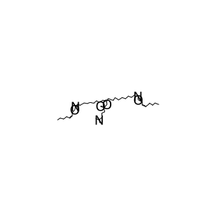 CCCC/C=C\CO/N=C\CCCCCCCCC(CCCCCCCC/C=N\OC/C=C\CCCC)OC(=O)CCCN(C)C